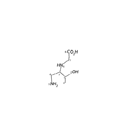 CC(O)C(CN)NCC(=O)O